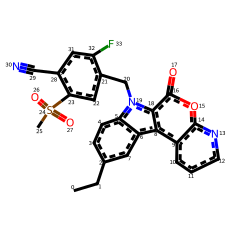 CCc1ccc2c(c1)c1c3cccnc3oc(=O)c1n2Cc1cc(S(C)(=O)=O)c(C#N)cc1F